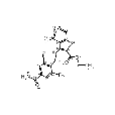 CCOC(=O)c1sc2ccnc(Cl)c2c1COc1c(F)cc(C(N)=O)cc1F